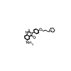 Cc1nc2ccc(N)cc2c(=O)n1-c1ccc(OCCCN2CCCC2)cc1